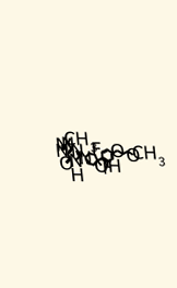 COCCOc1cc(F)c(C2(O)CCN(c3nc4c(nnn4C)c(=O)[nH]3)CC2)c(F)c1